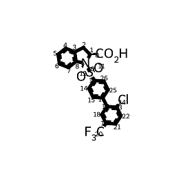 O=C(O)[C@@H]1Cc2ccccc2N1S(=O)(=O)c1ccc(-c2cc(C(F)(F)F)ccc2Cl)cc1